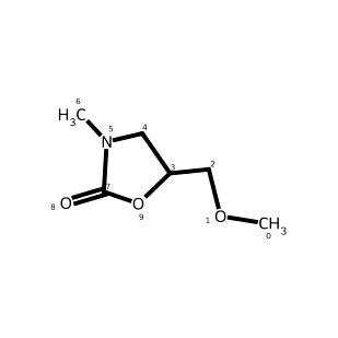 COCC1CN(C)C(=O)O1